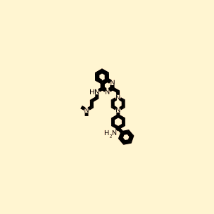 CN(C)CCCNc1nc(CN2CCN(C3CCC(N)(c4ccccc4)CC3)CC2)nc2ccccc12